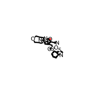 N#Cc1ccc(N2C3COCC2CN(C(=O)CCS(=O)(=O)c2cccc4ncsc24)C3)nc1